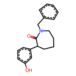 O=C1C(c2cccc(O)c2)CCCCN1Cc1ccccc1